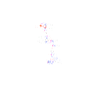 Cc1c[nH]c2c(OC(=O)N(C)CCN(C)C(=O)OCc3ccc(NC(=O)[C@H](CCCNC(N)=O)NC(=O)[C@@H](N)C(C)C)cc3)cc3c(c12)[C@H](CCl)CN3C(=O)C12CC(C(=O)N3C[C@@H](CCl)c4c3cc(OP(=O)(O)O)c3[nH]cc(C)c43)(C1)C2